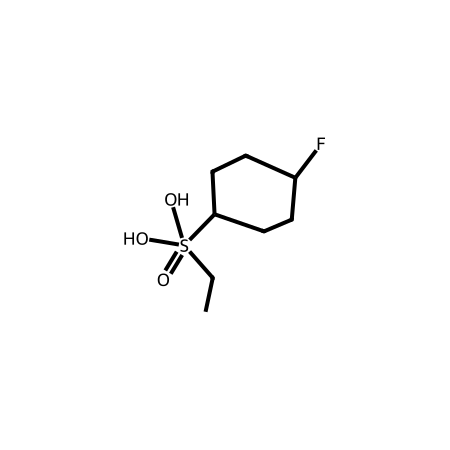 CCS(=O)(O)(O)C1CCC(F)CC1